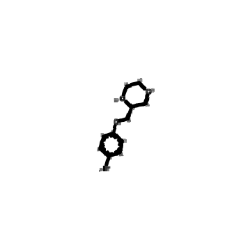 Brc1ccc(OC[C@@H]2COCCO2)cc1